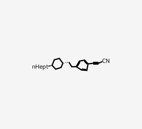 CCCCCCC[C@H]1CC[C@H](CCc2ccc(C#CC#N)cc2)CC1